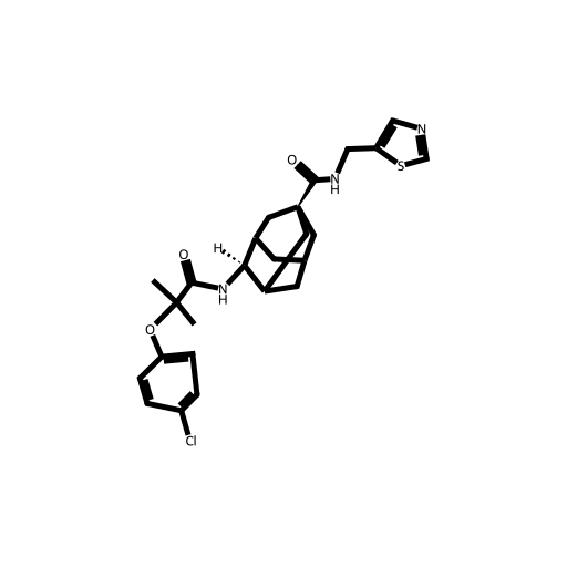 CC(C)(Oc1ccc(Cl)cc1)C(=O)N[C@H]1C2CC3CC1C[C@@](C(=O)NCc1cncs1)(C3)C2